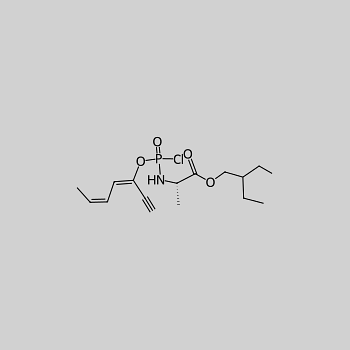 C#C/C(=C\C=C/C)OP(=O)(Cl)N[C@@H](C)C(=O)OCC(CC)CC